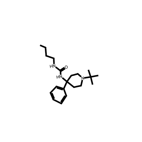 CCCCNC(=O)NC1(c2ccccc2)CCN(C(C)(C)C)CC1